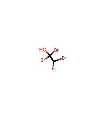 OC(Br)(Br)C(Br)Br